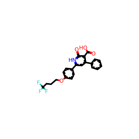 O=C(O)c1c(-c2ccccc2)cc(-c2ccc(OCCCC(F)(F)F)cc2)[nH]c1=O